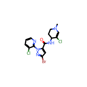 CN1C=C(Cl)C(NC(=O)c2cc(Br)nn2-c2ncccc2Cl)CC1